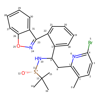 Cc1ccc(Br)nc1CC(N[S@@+]([O-])C(C)(C)C)c1ccccc1-c1noc2ccccc12